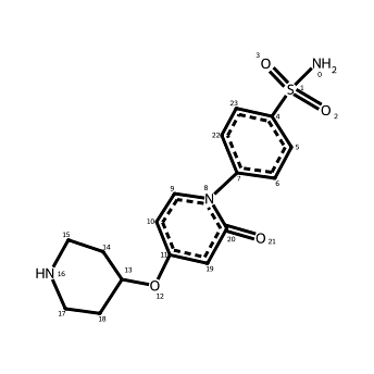 NS(=O)(=O)c1ccc(-n2ccc(OC3CCNCC3)cc2=O)cc1